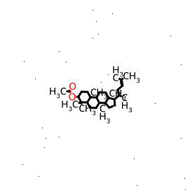 CC(=O)OC1CCC2(C)C3CCC4(C)C(C(C)CC=C(C)C)CCC4(C)C3CCC2C1(C)C